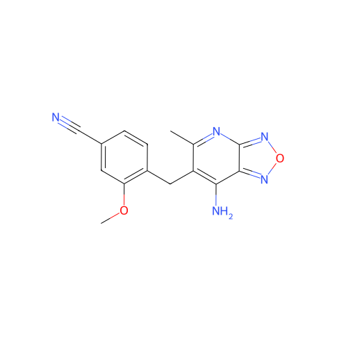 COc1cc(C#N)ccc1Cc1c(C)nc2nonc2c1N